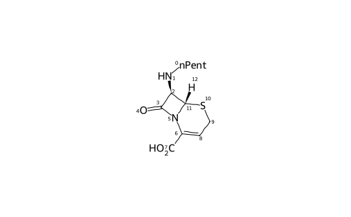 CCCCCN[C@@H]1C(=O)N2C(C(=O)O)=CCS[C@@H]12